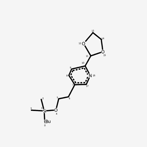 CC(C)(C)[Si](C)(C)OCCc1ccc(C2OCCO2)nc1